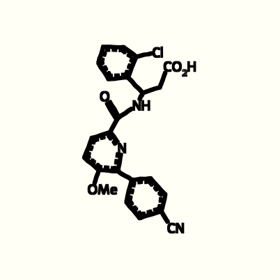 COc1ccc(C(=O)NC(CC(=O)O)c2ccccc2Cl)nc1-c1ccc(C#N)cc1